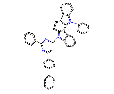 c1ccc(-c2ccc(-c3cc(-n4c5ccccc5c5c4ccc4c6ccccc6n(-c6ccccc6)c45)nc(-c4ccccc4)n3)cc2)cc1